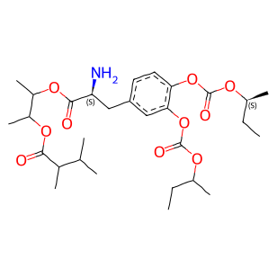 CCC(C)OC(=O)Oc1cc(C[C@H](N)C(=O)OC(C)C(C)OC(=O)C(C)C(C)C)ccc1OC(=O)O[C@@H](C)CC